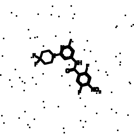 Cc1cc(NC(=O)c2cc(F)c([N+](=O)[O-])cc2F)cc(N2CCC(F)(F)CC2)n1